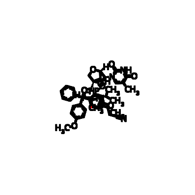 COc1ccc(C(OC[C@@]23CO[C@@H]([C@H](n4cc(C)c(=O)[nH]c4=O)O2)[C@H]3OP[N+](OCCC#N)(C(C)C)C(C)C)(c2ccccc2)c2ccc(OC)cc2)cc1